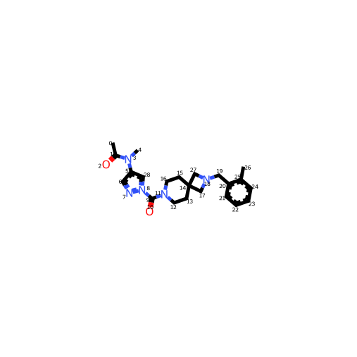 CC(=O)N(C)c1cnn(C(=O)N2CCC3(CC2)CN(Cc2ccccc2C)C3)c1